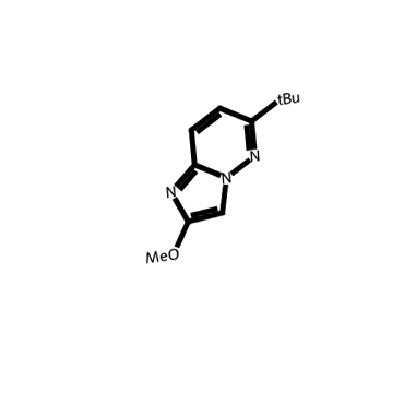 COc1cn2nc(C(C)(C)C)ccc2n1